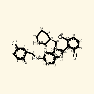 Fc1ccc(Cl)cc1CNc1ncc2nc(-c3c(Cl)cccc3Cl)n(C[C@@H]3CCCNC3)c2n1